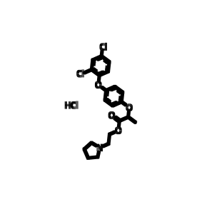 CC(Oc1ccc(Oc2ccc(Cl)cc2Cl)cc1)C(=O)OCCN1CCCC1.Cl